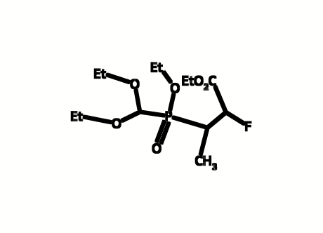 CCOC(=O)C(F)C(C)P(=O)(OCC)C(OCC)OCC